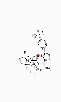 CS(=O)(=O)c1c([C@H]2C[C@H]3CC[C@@H](C2)N3C(=O)CO)nc2c(N3C=CC(C4(O)CCC4)=NC3)cnn2c1N